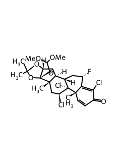 COC(OC)C(=O)[C@@]12OC(C)(C)O[C@@H]1C[C@H]1[C@@H]3C[C@H](F)C4=C(Cl)C(=O)C=C[C@]4(C)[C@@]3(Cl)[C@@H](Cl)C[C@@]12C